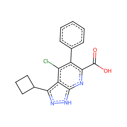 O=C(O)c1nc2[nH]nc(C3CCC3)c2c(Cl)c1-c1ccccc1